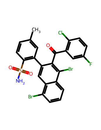 Cc1ccc(S(N)(=O)=O)c(-c2cc3c(Br)cccc3c(Br)c2C(=O)c2cc(F)ccc2Cl)c1